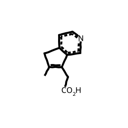 CC1=C(CC(=O)O)c2cnccc2C1